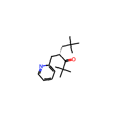 CC(C)(C)C[C@@H](Cc1ccccn1)C(=O)C(C)(C)C